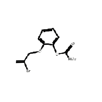 C=C(Br)COc1ccccc1OC(=O)NC